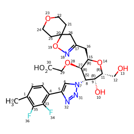 Cc1ccc(-c2cn([C@H]3[C@@H](O)[C@@H](CO)O[C@H](CC4=NOC5(CCOCC5)C4)[C@@H]3OCC(=O)O)nn2)c(F)c1F